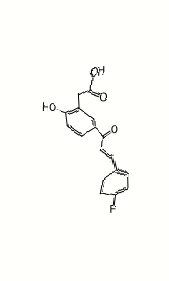 O=C(O)Cc1cc(C(=O)/C=C/c2ccc(F)cc2)ccc1O